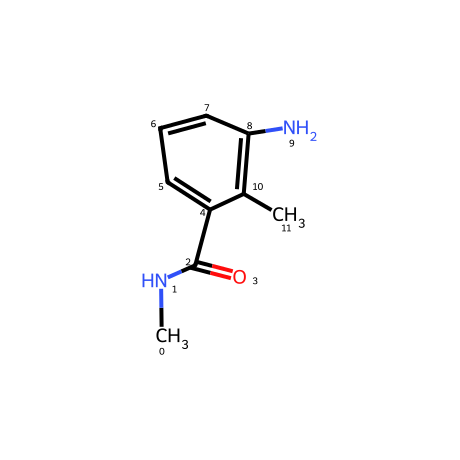 CNC(=O)c1cccc(N)c1C